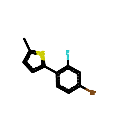 Cc1ccc(-c2ccc(Br)cc2F)s1